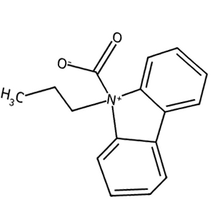 CCC[N+]1(C(=O)[O-])c2ccccc2-c2ccccc21